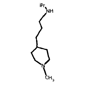 CC(C)NCCCC1CCN(C)CC1